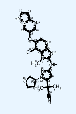 Cn1c(Nc2cc(C(C)(C)C#N)n([C@@H]3CCOC3)n2)nc2ncc(Oc3cnc4ccnn4c3)c(Cl)c21